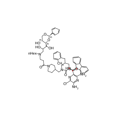 CCCCCCN(CCC(=O)N1CCC(CN(CC(CNC(=O)c2nc(Cl)c(N)nc2N)Cc2ccccc2C)C(=O)OCC2c3ccccc3-c3ccccc32)CC1)CC(O)C(O)[C@@H]1O[C@H](c2ccccc2)OC[C@H]1O